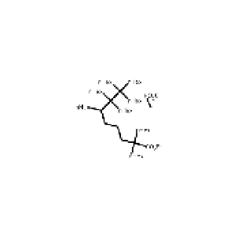 CC(=O)O.CCCCCCC(CCCC(CCCCCC)(CCCCCC)C(=O)OCC)C(CCCCCC)(CCCCCC)C(CCCCCC)(CCCCCC)CCCCCC